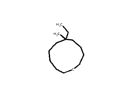 C[CH]C1(C)CCCCCCCCCC1